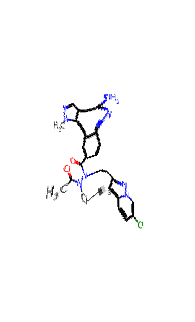 CC(=O)N(C)N(Cc1cc2ccc(Cl)cn2n1)C(=O)c1ccc2nc(N)c3cnn(C)c3c2c1